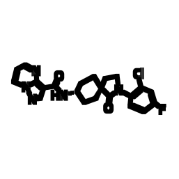 O=C(N[C@H]1CC[C@]2(CCN(c3ccc(F)cc3Cl)C2=O)CC1)c1cnn2cccnc12